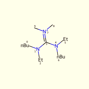 CCCCN(CC)C(N(CC)CCCC)=[N+](C)C